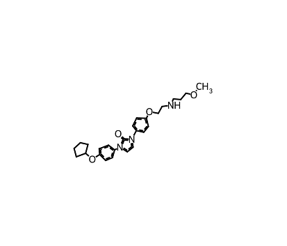 COCCCNCCOc1ccc(-n2ccn(-c3ccc(OC4CCCC4)cc3)c2=O)cc1